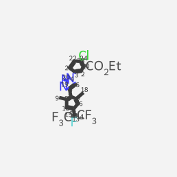 CCOC(=O)c1cc(-n2cc(-c3c(C)cc(C(F)(C(F)(F)F)C(F)(F)F)cc3C)nn2)ccc1Cl